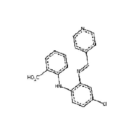 O=C(O)c1ccccc1Nc1ccc(Cl)cc1N=Cc1ccncc1